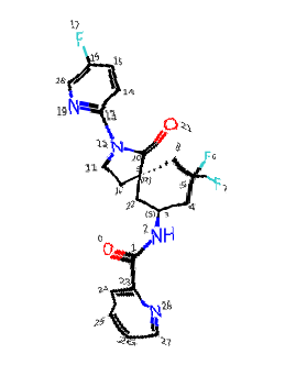 O=C(N[C@@H]1CC(F)(F)C[C@@]2(CCN(c3ccc(F)cn3)C2=O)C1)c1ccccn1